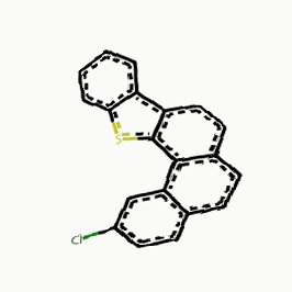 Clc1ccc2ccc3ccc4c5ccccc5sc4c3c2c1